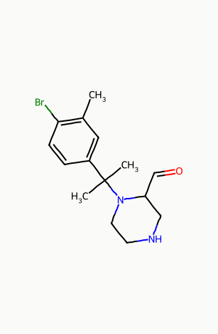 Cc1cc(C(C)(C)N2CCNCC2C=O)ccc1Br